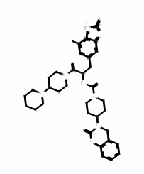 CCc1cc(CC(NC(=O)N2CCC(N3Cc4ccccc4NC3=O)CC2)C(=O)N2CCC(N3CCCCC3)CC2)cc2[nH]c(=O)[nH]c12